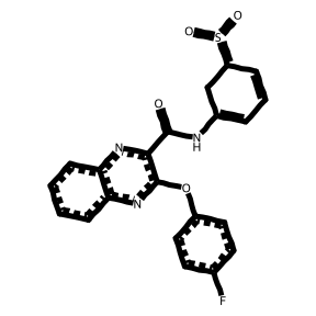 O=C(NC1=CC=CC(=S(=O)=O)C1)c1nc2ccccc2nc1Oc1ccc(F)cc1